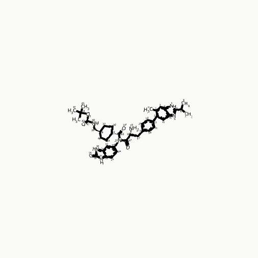 Cc1cc2[nH]c(C(C)C)nc2cc1-c1ccc(C[C@@H](N)C(=O)N(c2ccc3[nH]c(=O)[nH]c3c2)C(=O)[C@H]2CC[C@H](CNC(=O)OC(C)(C)C)CC2)cc1